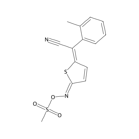 Cc1ccccc1/C(C#N)=C1\C=CC(=NOS(C)(=O)=O)S1